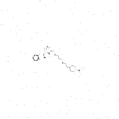 N=C(N)N1CCC(CCC(=O)NCCC(=O)N[C@@H](CC(=O)O)C(=O)N[C@@H](Cc2ccccc2)C(=O)O)CC1